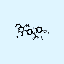 C=CC1N=c2occc2=C(N)N1c1ccc(N(C(N)=O)c2cc(C(F)(F)F)ccc2F)cc1